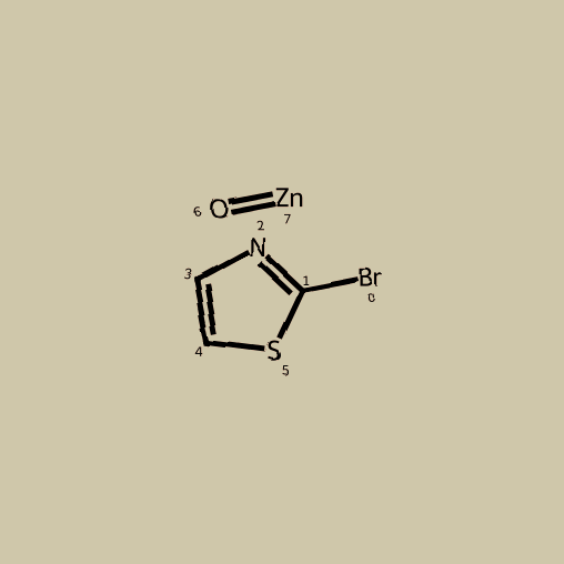 Brc1nccs1.[O]=[Zn]